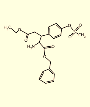 CCOC(=O)CC(c1ccc(OS(C)(=O)=O)cc1)C(N)C(=O)OCc1ccccc1